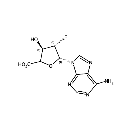 Nc1ncnc2c1ncn2[C@@H]1OC(C(=O)O)[C@@H](O)[C@@H]1F